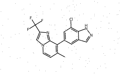 Cc1ccn2cc(C(F)(F)F)nc2c1-c1cc(Cl)c2[nH]ncc2c1